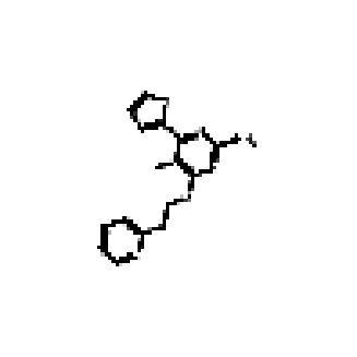 Nc1nc(SCCc2ccccn2)c(I)c(-c2ccco2)n1